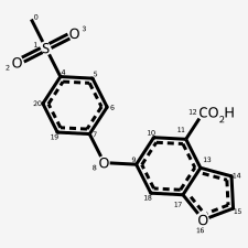 CS(=O)(=O)c1ccc(Oc2cc(C(=O)O)c3ccoc3c2)cc1